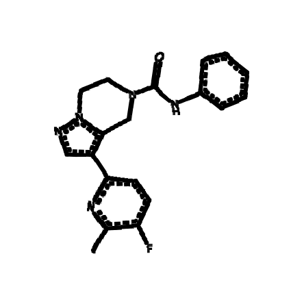 Cc1nc(-c2cnn3c2CN(C(=O)Nc2ccccc2)CC3)ccc1F